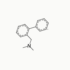 CN(C)Cc1ccccc1-c1c[c]ccc1